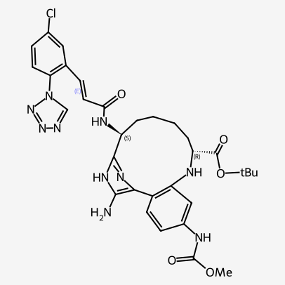 COC(=O)Nc1ccc2c(c1)N[C@@H](C(=O)OC(C)(C)C)CCCC[C@H](NC(=O)/C=C/c1cc(Cl)ccc1-n1cnnn1)c1nc-2c(N)[nH]1